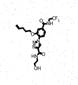 C=CCCCOc1cc(C(=O)NCC(F)(F)F)ccc1-n1cc(C(=O)NCCO)nn1